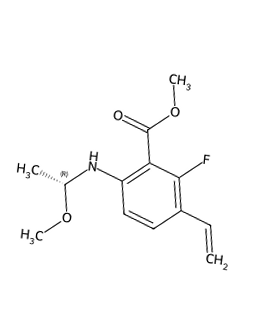 C=Cc1ccc(N[C@@H](C)OC)c(C(=O)OC)c1F